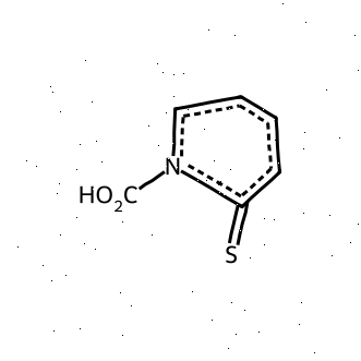 O=C(O)n1ccccc1=S